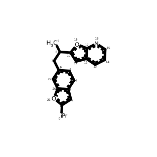 CC(C)c1cc2ccc(CC(C)c3cc4cccnc4o3)cc2o1